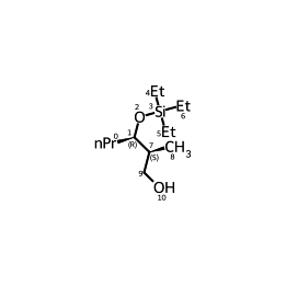 CCC[C@@H](O[Si](CC)(CC)CC)[C@@H](C)CO